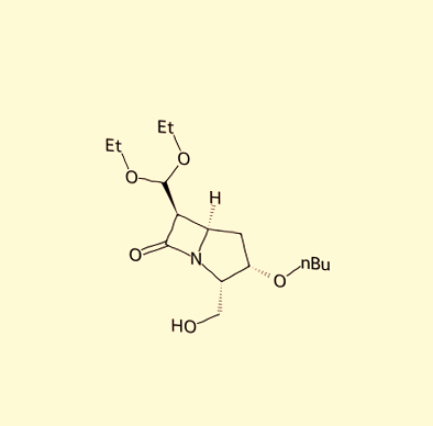 CCCCO[C@H]1C[C@@H]2[C@H](C(OCC)OCC)C(=O)N2[C@H]1CO